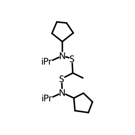 CC(SN(C(C)C)C1CCCC1)SN(C(C)C)C1CCCC1